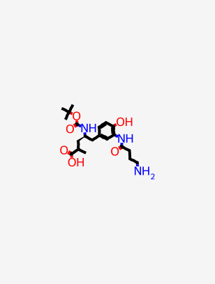 CC(C[C@H](Cc1ccc(O)c(NC(=O)CCCN)c1)NC(=O)OC(C)(C)C)C(=O)O